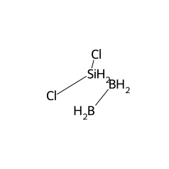 BB.Cl[SiH2]Cl